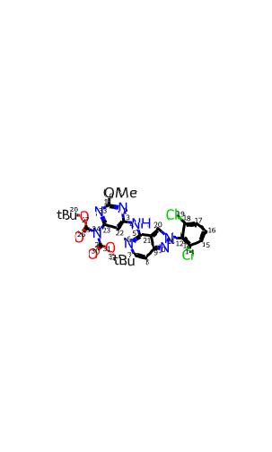 COc1nc(Nc2nccc3nn(-c4c(Cl)cccc4Cl)cc23)cc(N(C(=O)OC(C)(C)C)C(=O)OC(C)(C)C)n1